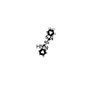 c1ccc2[nH]c(SSc3nc4ccccc4s3)nc2c1